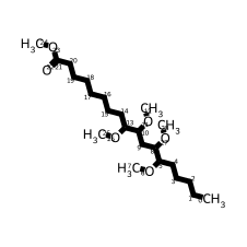 CCCCCC(OC)C(CC(OC)C(CCCCCCCC(=O)OC)OC)OC